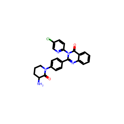 NC1CCCN(c2ccc(-c3nc4ccccc4c(=O)n3-c3ccc(Cl)cn3)cc2)C1=O